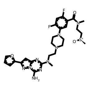 CN(CC[S@@+](C)[O-])C(=O)c1cc(N2CCN(CCN(C)c3nc(N)n4nc(-c5ccco5)cc4n3)CC2)c(F)cc1F